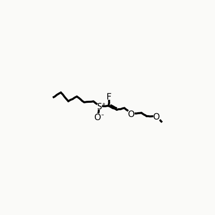 CCCCCC[S+]([O-])C(F)=CCOCCOC